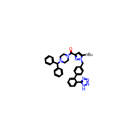 CCCCc1cc(C(=O)N2CCN(C(c3ccccc3)c3ccccc3)CC2)nn1Cc1ccc(-c2ccccc2-c2nnn[nH]2)cc1